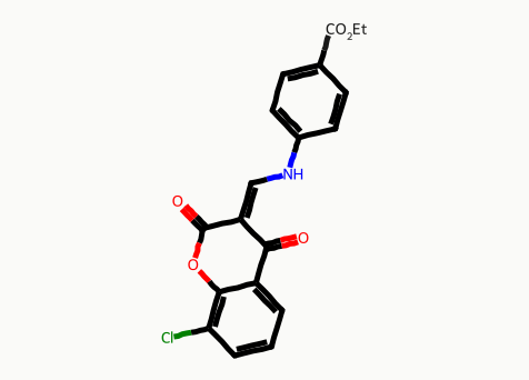 CCOC(=O)c1ccc(NC=C2C(=O)Oc3c(Cl)cccc3C2=O)cc1